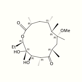 CC[C@H]1OC(=O)[C@H](C)C[C@H](C)[C@@H](C)[C@](C)(OC)C[C@@H](C)C(=O)[C@H](C)[C@@H](O)[C@]1(C)O